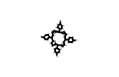 Cc1ccc(-c2c3nc(c(-c4ccc(C)cc4)c4ccc([nH]4)c(-c4ccc(I)cc4)c4nc(c(-c5ccc(C)cc5)c5ccc2[nH]5)C=C4)C=C3)cc1